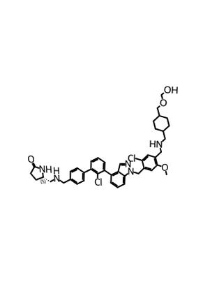 COc1cc(Cn2ncc3c(-c4cccc(-c5ccc(CNC[C@@H]6CCC(=O)N6)cc5)c4Cl)cccc32)c(Cl)cc1CNCC1CCC(COCO)CC1